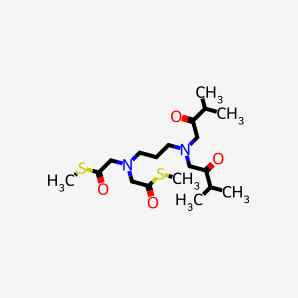 CSC(=O)CN(CCCN(CC(=O)C(C)C)CC(=O)C(C)C)CC(=O)SC